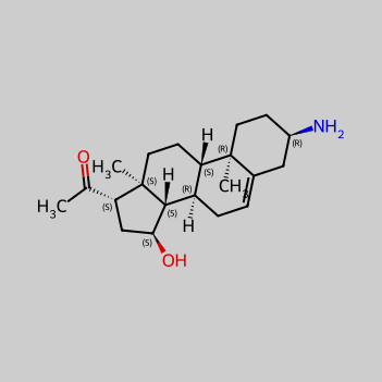 CC(=O)[C@H]1C[C@H](O)[C@H]2[C@@H]3CC=C4C[C@H](N)CC[C@]4(C)[C@H]3CC[C@@]21C